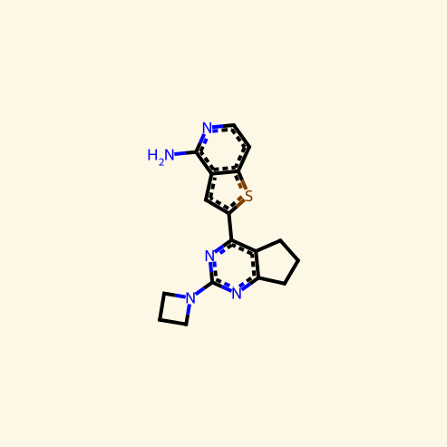 Nc1nccc2sc(-c3nc(N4CCC4)nc4c3CCC4)cc12